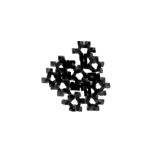 N#Cc1c(Nc2ccccc2-c2ccccc2)c(C#N)c(Nc2ccccc2-c2ccccc2)c(Nc2ccccc2-c2ccccc2)c1NC1=C(C2=CCC=C2)C=C=C1